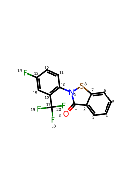 O=c1c2ccccc2sn1-c1ccc(F)cc1C(F)(F)F